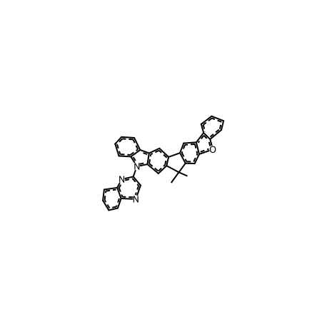 CC1(C)c2cc3oc4ccccc4c3cc2-c2cc3c4ccccc4n(-c4cnc5ccccc5n4)c3cc21